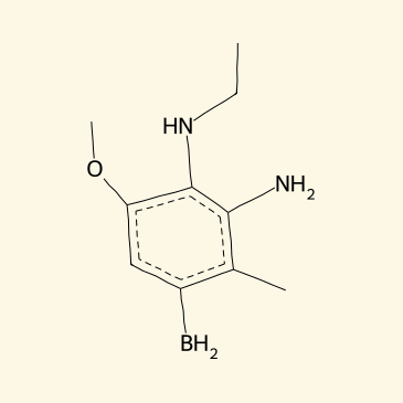 Bc1cc(OC)c(NCC)c(N)c1C